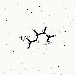 CC(N)CC(C)C(C)C(C)C(C)C